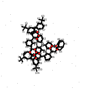 CC(C)(C)C1=Cc2c(n(-c3cc4c5c(c3)N(c3c(-c6ccccc6)cccc3-c3ccccc3)c3cc(N6C7CC8CC(C7)CC6C8)ccc3B5c3ccc(-n5c6ccc(C(C)(C)C)cc6c6cc(C(C)(C)C)ccc65)cc3N4c3c(C4=CCCC=C4)cccc3-c3ccccc3)c3ccc(C(C)(C)C)cc23)CC#C1